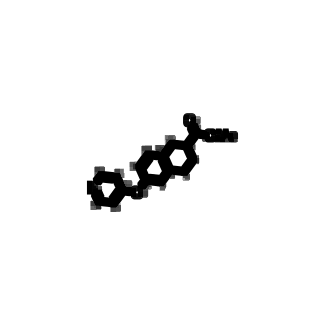 COC(=O)C1CCc2cc(Oc3ccncc3)ccc2C1